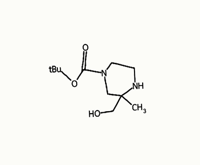 CC1(CO)CN(C(=O)OC(C)(C)C)CCN1